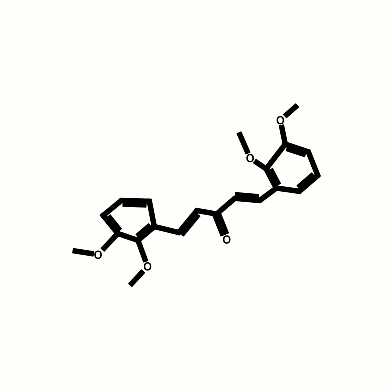 COc1cccc(/C=C/C(=O)/C=C/c2cccc(OC)c2OC)c1OC